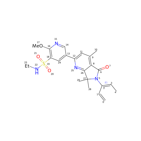 C=C/C(=C\C)N1C(=O)c2c(C)cc(-c3cnc(OC)c(S(=O)(=O)NCC)c3)nc2C1(C)C